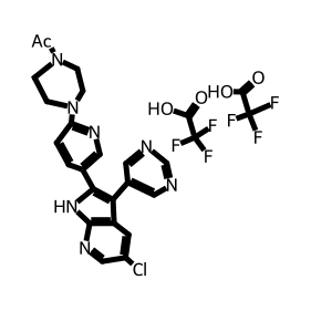 CC(=O)N1CCN(c2ccc(-c3[nH]c4ncc(Cl)cc4c3-c3cncnc3)cn2)CC1.O=C(O)C(F)(F)F.O=C(O)C(F)(F)F